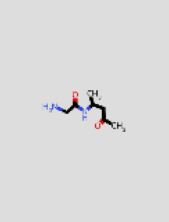 CC(=O)CC(C)NC(=O)CN